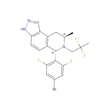 C[C@@H]1Cc2c(ccc3[nH]ncc23)[C@@H](c2c(F)cc(Br)cc2F)N1CC(C)(F)F